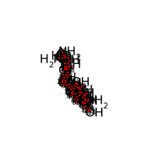 CCCC[C@@H](C(=O)N[C@@H](CC(C)C)C(=O)N[C@@H](CSCC(N)=O)C(=O)NCC(N)=O)N(C)C(=O)[C@H](CCC(C)c1cccc(N(C(C)OC)C(C(=O)OC)c2cccc3c(C[C@H](NC(=O)[C@@H]4C[C@@H](O)CN4C(=O)[C@H](CC(C)C)NC(=O)[C@H](CNc4nc5ccccc5s4)NC(=O)[C@@H]4CCCN4C(=O)[C@H](CC(N)=O)NC(=O)[C@H](C)N(C)C(=O)[C@@H](C)Cc4ccc(O)cc4)C(=O)N[C@@H](CCN)C(=O)NC)c[nH]c23)c1)NC